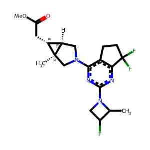 COC(=O)C[C@@H]1[C@H]2CN(c3nc(N4CC(F)C4C)nc4c3CCC4(F)F)C[C@@]12C